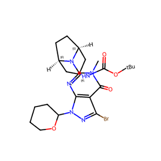 Cn1c(N2[C@@H]3CC[C@H]2C[C@@](C)(NC(=O)OC(C)(C)C)C3)nc2c(c(Br)nn2C2CCCCO2)c1=O